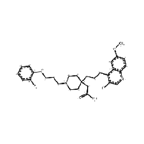 COc1ccc2ncc(Cl)c(CCCC3(CC(=O)O)CCN(CCCSc4ccccc4F)CC3)c2c1